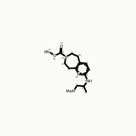 CNCC(C)Nc1ccc2c(n1)CCN(C(=O)OC(C)(C)C)CC2